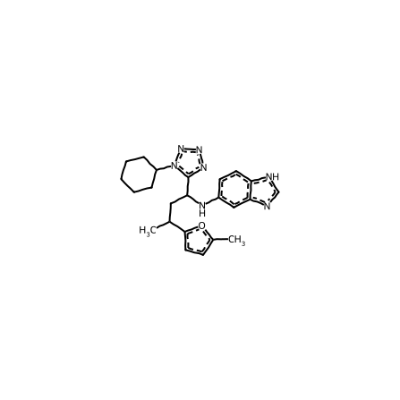 Cc1ccc(C(C)CC(Nc2ccc3[nH]cnc3c2)c2nnnn2C2CCCCC2)o1